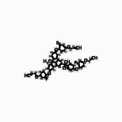 C#CCOc1ccc(Oc2ccc(C(C)(C)c3ccc(C(C)(c4ccc(Oc5ccc(OCC#C)cc5F)cc4)c4ccc(Oc5ccc(OCC#C)cc5F)cc4)cc3)cc2)c(F)c1